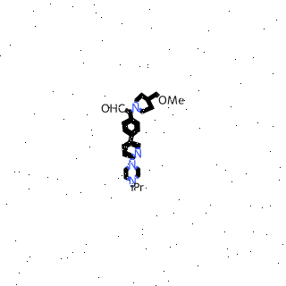 COCC1CCN(C(C=O)c2ccc(-c3ccc(N4CCN(C(C)C)CC4)nc3)cc2)CC1